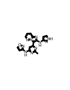 Cc1nc(Nc2ccon2)cc(-c2c(Nc3cc[nH]n3)nc3cccnn23)n1